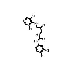 CC(CNC(=O)Nc1ccc(F)c(Cl)c1)CNc1c(Cl)cncc1Cl